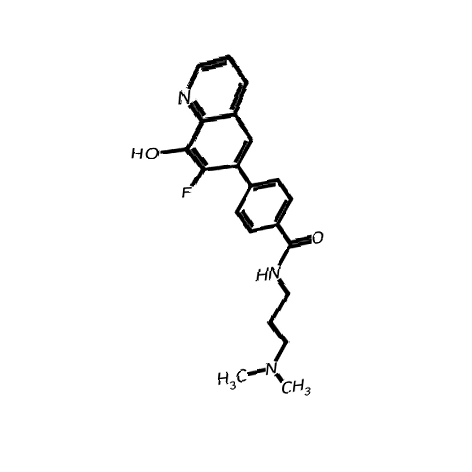 CN(C)CCCNC(=O)c1ccc(-c2cc3cccnc3c(O)c2F)cc1